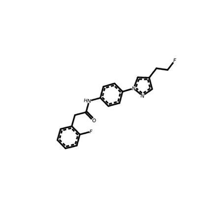 O=C(Cc1ccccc1F)Nc1ccc(-n2cc(CCF)cn2)cc1